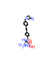 CN(C)[C@H]1CCN(Cc2ccc(C#Cc3ccc(C(=O)N[C@@H](CN)C(=O)NO)cc3)cc2)C1